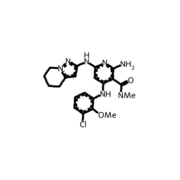 CNC(=O)c1c(Nc2cccc(Cl)c2OC)cc(Nc2cc3n(n2)CCCC3)nc1N